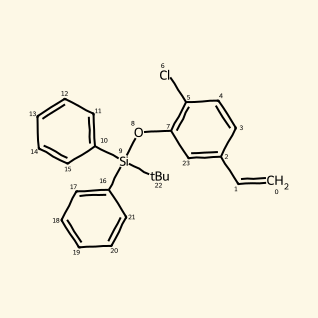 C=Cc1ccc(Cl)c(O[Si](c2ccccc2)(c2ccccc2)C(C)(C)C)c1